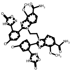 COc1c(C(N)=O)ccc2c1nc(-c1ccc(Cl)cc1-c1noc(=O)[nH]1)n2CCn1c(-c2ccc(Cl)cc2-c2noc(=O)[nH]2)nc2c(OC)c(C(N)=O)ccc21